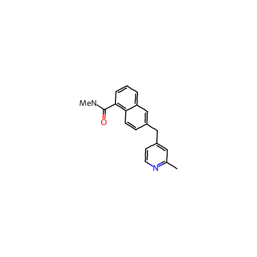 CNC(=O)c1cccc2cc(Cc3ccnc(C)c3)ccc12